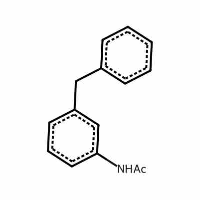 CC(=O)Nc1cccc(Cc2ccccc2)c1